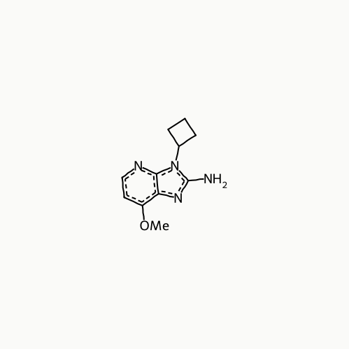 COc1ccnc2c1nc(N)n2C1CCC1